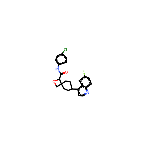 O=C(Nc1ccc(Cl)cc1)C1OCC12CCC(c1ccnc3ccc(F)cc13)CC2